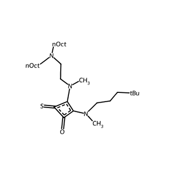 CCCCCCCCN(CCCCCCCC)CCN(C)c1c(N(C)CCCC(C)(C)C)c(=O)c1=S